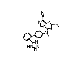 CCc1cc(N(C)c2ccc(-c3ccccc3-c3nnn[nH]3)cc2)n2cnc(C#N)c2n1